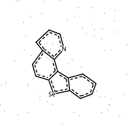 c1cnc2c(c1)ccc1[se]c3ccccc3c12